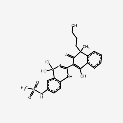 CC1(CCCO)C(=O)C(C2=NS(O)(O)c3cc(NS(C)(=O)=O)ccc3N2)=C(O)c2ccccc21